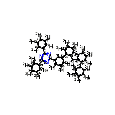 [2H]c1c(-c2nc(-c3c([2H])c([2H])c([2H])c([2H])c3[2H])nc(-c3c([2H])c([2H])c([2H])c([2H])c3[2H])n2)cc(-c2c([2H])c([2H])c([2H])c3c2Cc2c(-c4c([2H])c([2H])c([2H])c([2H])c4[2H])c([2H])c([2H])c([2H])c2-3)c([2H])c1[2H]